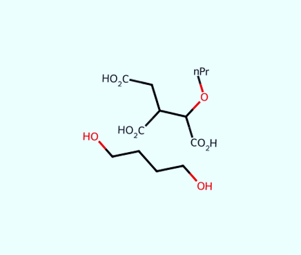 CCCOC(C(=O)O)C(CC(=O)O)C(=O)O.OCCCCO